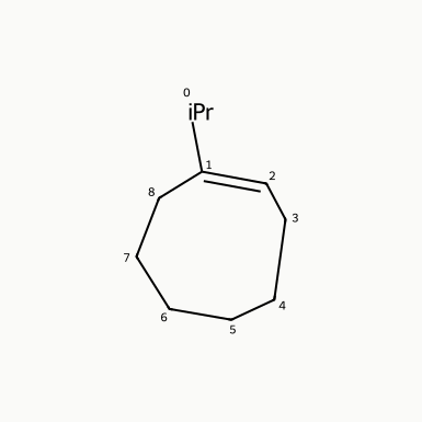 CC(C)C1=CCCCCCC1